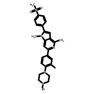 Cc1nc(-c2ccc(N3CCN(C(C)C)CC3)c(F)c2)cc2c1cc(-c1ccc(S(C)(=O)=O)cc1)n2C